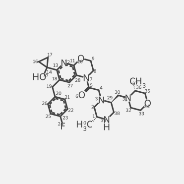 C[C@@H]1CN(CC(=O)N2CCOc3nc(C4(O)CC4)c(Cc4ccc(F)cc4)cc32)[C@@H](CN2CCOC[C@H]2C)CN1